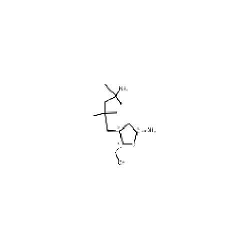 B[C@H]1C[C@H](CC(C)(C)CC(C)(C)N)[C@@H](CO)O1